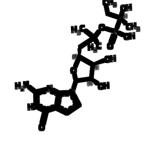 CC[C@](C)(O)P(=O)(O)OC(C)(C)C[C@H]1OC(n2ccc3c(=O)[nH]c(N)nc32)[C@H](O)[C@@H]1O